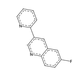 Fc1ccc2n[c]c(-c3ccccn3)cc2c1